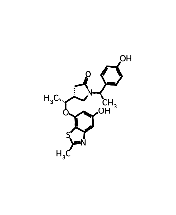 Cc1nc2cc(O)cc(O[C@H](C)[C@@H]3CC(=O)N([C@H](C)c4ccc(O)cc4)C3)c2s1